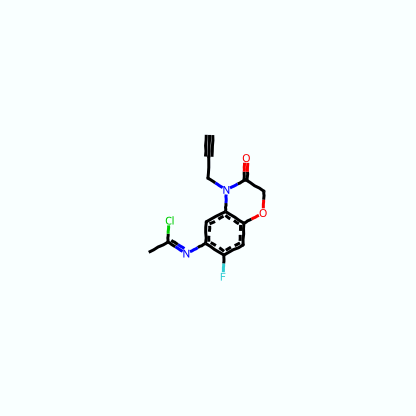 C#CCN1C(=O)COc2cc(F)c(N=C(C)Cl)cc21